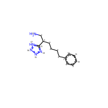 NCC(CCCCc1ccccc1)c1nnn[nH]1